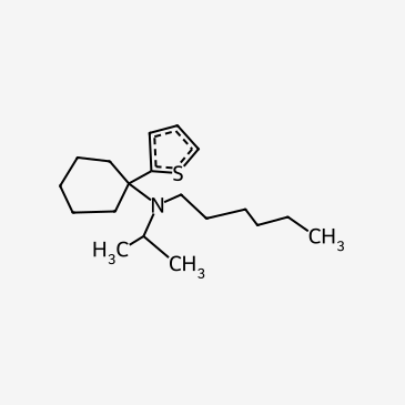 CCCCCCN(C(C)C)C1(c2cccs2)CCCCC1